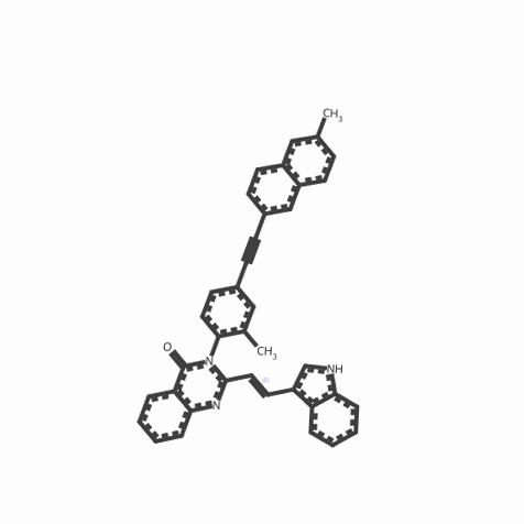 Cc1ccc2cc(C#Cc3ccc(-n4c(/C=C/c5c[nH]c6ccccc56)nc5ccccc5c4=O)c(C)c3)ccc2c1